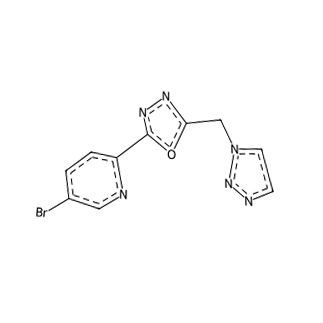 Brc1ccc(-c2nnc(Cn3ccnn3)o2)nc1